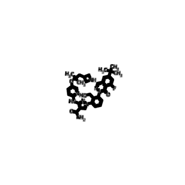 CC(C)(CC1CNC1)Oc1ccc(Nc2nn(-c3cccc(-n4ncc5cc(C(C)(C)C)cc(F)c5c4=O)c3CO)cc2C(N)=O)nc1